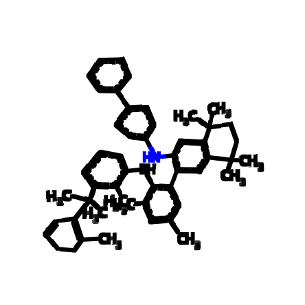 CC1=C(C(C)(C)c2cccc(Bc3c(C)cc(C)cc3-c3cc4c(cc3Nc3ccc(-c5ccccc5)cc3)C(C)(C)CCC4(C)C)c2C)C=CCC1